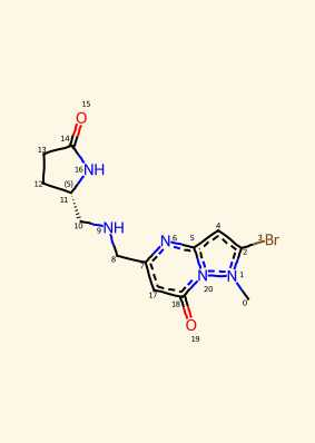 Cn1c(Br)cc2nc(CNC[C@@H]3CCC(=O)N3)cc(=O)n21